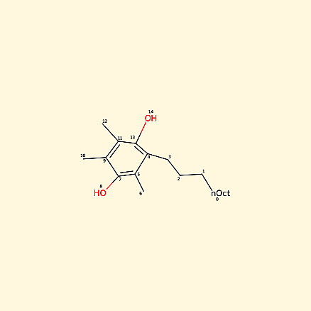 CCCCCCCCCCCc1c(C)c(O)c(C)c(C)c1O